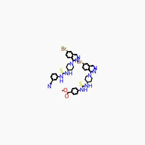 COC(=O)c1ccc(NC(=S)NC2CCN(c3nncc4cc(Br)ccc34)CC2)cc1.N#Cc1cccc(NC(=S)NC2CCN(c3nncc4cc(Br)ccc34)CC2)c1